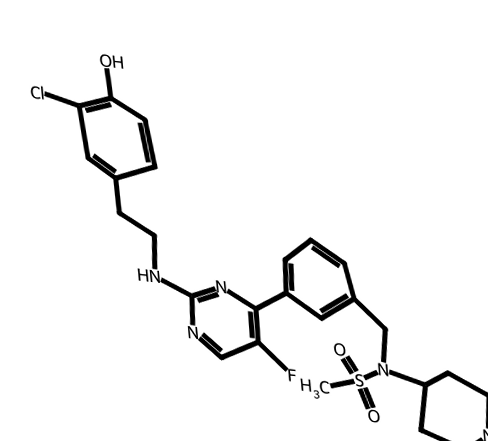 CS(=O)(=O)N(Cc1cccc(-c2nc(NCCc3ccc(O)c(Cl)c3)ncc2F)c1)C1CCNCC1